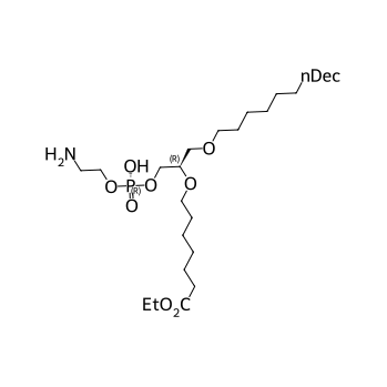 CCCCCCCCCCCCCCCCOC[C@H](CO[P@](=O)(O)OCCN)OCCCCCCC(=O)OCC